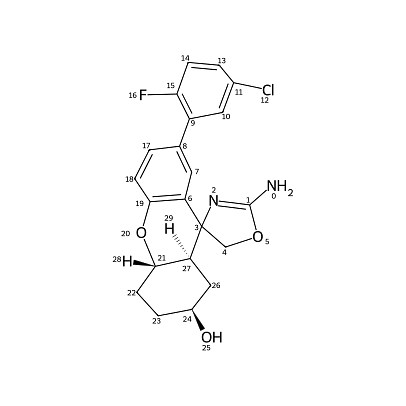 NC1=NC2(CO1)c1cc(-c3cc(Cl)ccc3F)ccc1O[C@H]1CC[C@H](O)C[C@@H]12